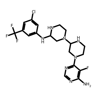 Nc1ncnc(N2CCNC(N3CCNC(Nc4cc(Cl)cc(C(F)(F)F)c4)C3)C2)c1F